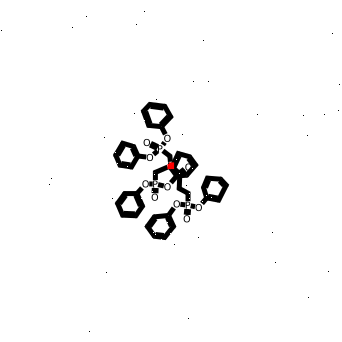 O=C(CCP(=O)(Oc1ccccc1)Oc1ccccc1)N(CP(=O)(Oc1ccccc1)Oc1ccccc1)CP(=O)(Oc1ccccc1)Oc1ccccc1